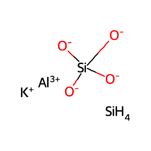 [Al+3].[K+].[O-][Si]([O-])([O-])[O-].[SiH4]